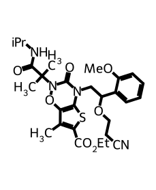 CCOC(=O)c1sc2c(c1C)ON(C(C)(C)C(=O)NC(C)C)C(=O)N2CC(OCCC#N)c1ccccc1OC